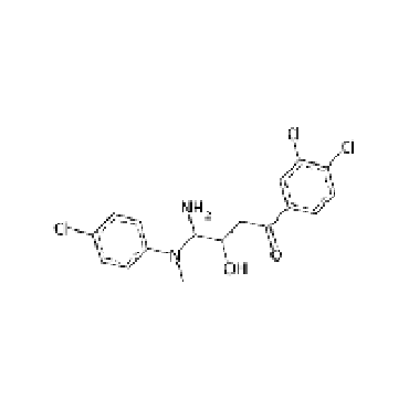 CN(c1ccc(Cl)cc1)C(N)C(O)CC(=O)c1ccc(Cl)c(Cl)c1